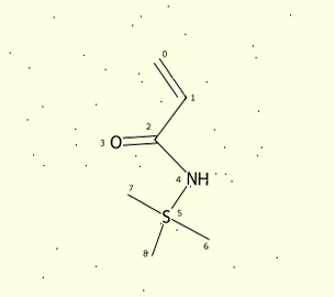 C=CC(=O)NS(C)(C)C